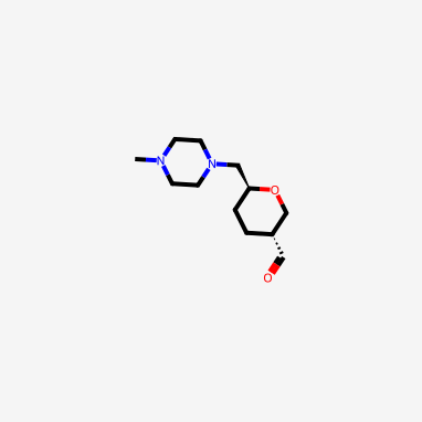 CN1CCN(C[C@@H]2CC[C@@H](C=O)CO2)CC1